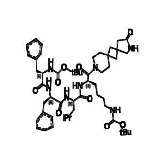 CC(C)C[C@@H](NC(=O)[C@@H](Cc1ccccc1)NC(=O)[C@@H](Cc1ccccc1)NC(=O)OC(C)(C)C)C(=O)N[C@H](CCCCNC(=O)OC(C)(C)C)C(=O)N1CCC2(CC1)CC1(CNC(=O)C1)C2